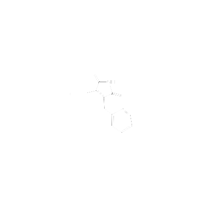 CCCCCC1=C(Cc2ccccc2)C(=O)NC1=O